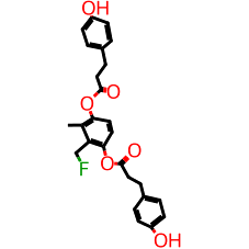 Cc1c(OC(=O)CCc2ccc(O)cc2)ccc(OC(=O)CCc2ccc(O)cc2)c1CF